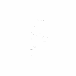 CNCc1cc2nc(N3CCC[C@@H](NC(=O)OC(C)(C)C)C3)n(Cc3ccccc3C#N)c(=O)c2s1